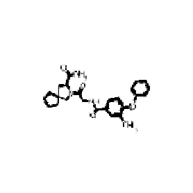 Cc1cc(C(=O)NCC(=O)N2CC3(CCCC3)CC2C(N)=O)ccc1Oc1ccccc1